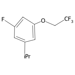 CC(C)c1cc(F)cc(OCC(F)(F)F)c1